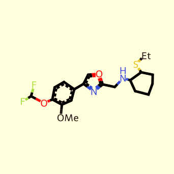 CCSC1CCCCC1NCc1nc(-c2ccc(OC(F)F)c(OC)c2)co1